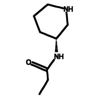 CCC(=O)N[C@@H]1CCCNC1